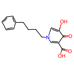 O=C(O)c1cn(CCCCc2ccccc2)cc(O)c1=O